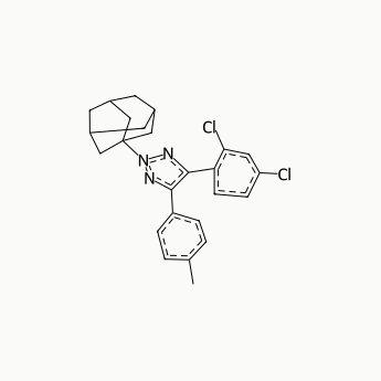 Cc1ccc(-c2nn(C34CC5CC(CC(C5)C3)C4)nc2-c2ccc(Cl)cc2Cl)cc1